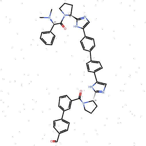 CN(C)[C@@H](C(=O)N1CCC[C@H]1c1ncc(-c2ccc(-c3ccc(-c4cnc([C@@H]5CCCN5C(=O)c5cccc(-c6ccc(C=O)cc6)c5)[nH]4)cc3)cc2)[nH]1)c1ccccc1